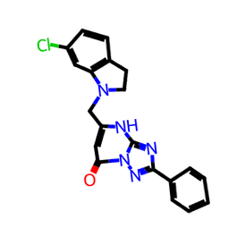 O=c1cc(CN2CCc3ccc(Cl)cc32)[nH]c2nc(-c3ccccc3)nn12